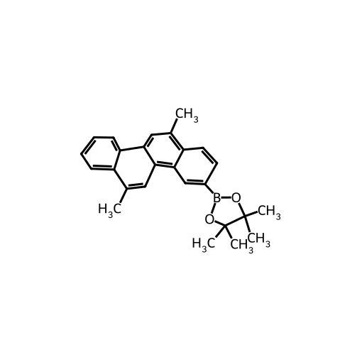 Cc1cc2c3cc(B4OC(C)(C)C(C)(C)O4)ccc3c(C)cc2c2ccccc12